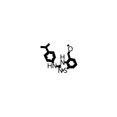 COCc1cccc2c1NC(Nc1ccc(C(C)C)cc1)=NS2